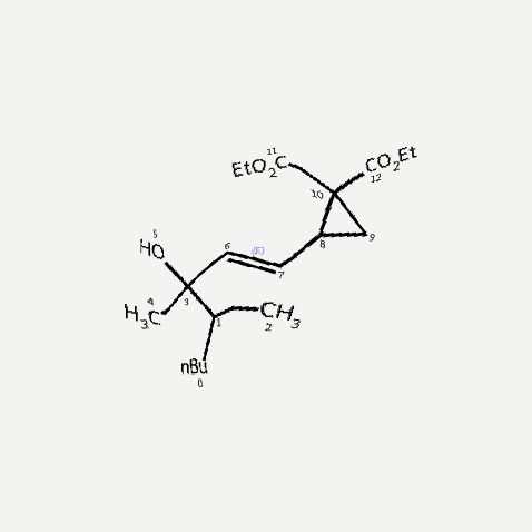 CCCCC(C)C(C)(O)/C=C/C1CC1(C(=O)OCC)C(=O)OCC